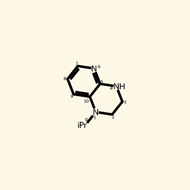 CC(C)N1CCNc2ncccc21